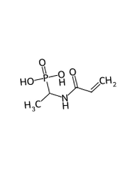 C=CC(=O)NC(C)P(=O)(O)O